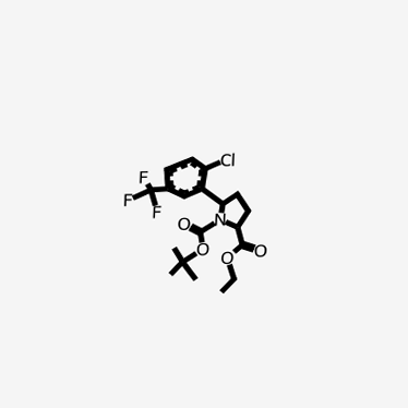 CCOC(=O)C1CCC(c2cc(C(F)(F)F)ccc2Cl)N1C(=O)OC(C)(C)C